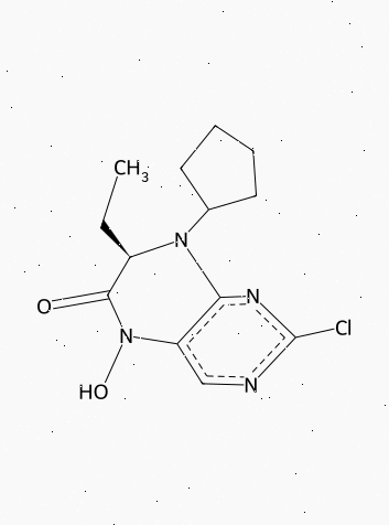 CC[C@@H]1C(=O)N(O)c2cnc(Cl)nc2N1C1CCCC1